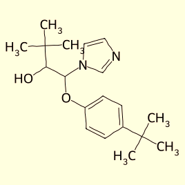 CC(C)(C)c1ccc(OC(C(O)C(C)(C)C)n2ccnc2)cc1